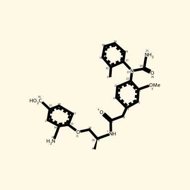 COc1cc(CC(=O)N[C@@H](C)COc2ccc(C(=O)O)cc2N)ccc1N(C(N)=O)c1ccccc1C